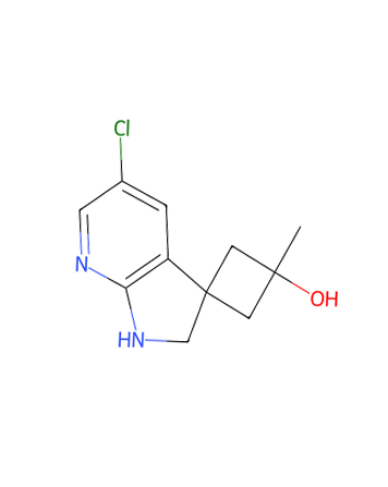 CC1(O)CC2(CNc3ncc(Cl)cc32)C1